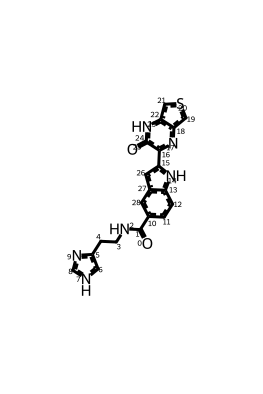 O=C(NCCc1c[nH]cn1)c1ccc2[nH]c(-c3nc4cscc4[nH]c3=O)cc2c1